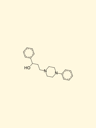 OC(CCN1CCN(c2ccccc2)CC1)c1ccccc1